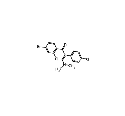 CN(C)C=C(C(=O)c1ccc(Br)cc1Cl)c1ccc(Cl)cc1